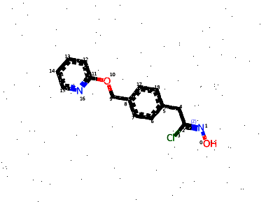 O/N=C(\Cl)Cc1ccc(COc2ccccn2)cc1